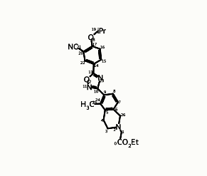 CCOC(=O)CN1CCc2c(ccc(-c3noc(-c4ccc(OC(C)C)c(C#N)c4)n3)c2C)C1